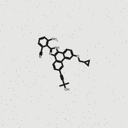 CC(C)(O)C#Cc1ccc2c(c1)c1cc(OCC3CC3)ccc1c1[nH]c(-c3c(N)cccc3C#N)nc21